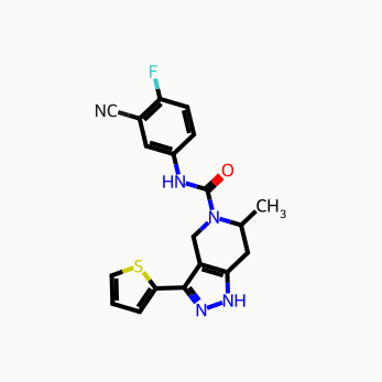 CC1Cc2[nH]nc(-c3cccs3)c2CN1C(=O)Nc1ccc(F)c(C#N)c1